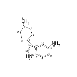 CN1CCC(c2c[nH]c3ccc(N)cc23)CC1